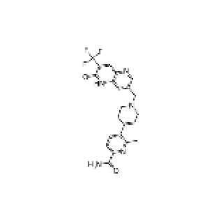 Cc1nc(C(N)=O)ccc1C1=CCN(Cc2cnc3cc(C(F)(F)F)c(=O)[nH]c3c2)CC1